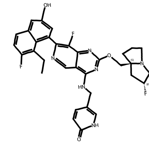 CCc1c(F)ccc2cc(O)cc(-c3ncc4c(NCc5ccc(=O)[nH]c5)nc(OC[C@@]56CCCN5C[C@H](F)C6)nc4c3F)c12